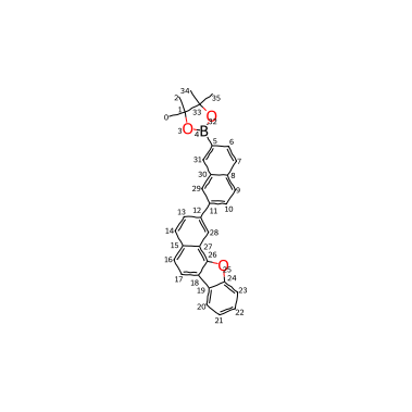 CC1(C)OB(c2ccc3ccc(-c4ccc5ccc6c7ccccc7oc6c5c4)cc3c2)OC1(C)C